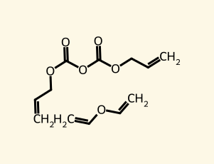 C=CCOC(=O)OC(=O)OCC=C.C=COC=C